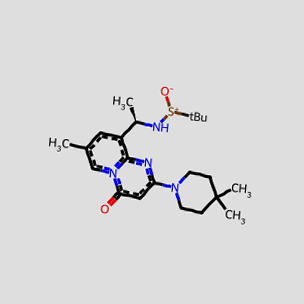 Cc1cc([C@@H](C)N[S+]([O-])C(C)(C)C)c2nc(N3CCC(C)(C)CC3)cc(=O)n2c1